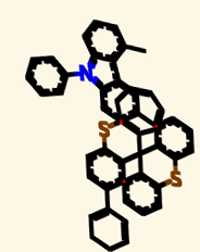 Cc1cccc2c1c1cc(-c3cccc4c3C3(C5=C(CC=CC=C5)Sc5ccc(C6=CCCC=C6)cc53)c3ccccc3S4)ccc1n2-c1ccccc1